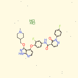 CN1CCC(COc2n[nH]c3nccc(Oc4ccc(NC(=O)c5ccnn(-c6ccc(F)cc6)c5=O)cc4F)c23)CC1.Cl.Cl